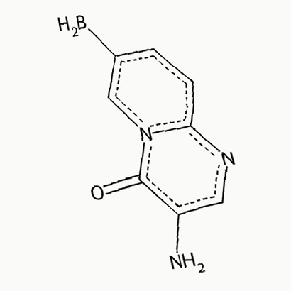 Bc1ccc2ncc(N)c(=O)n2c1